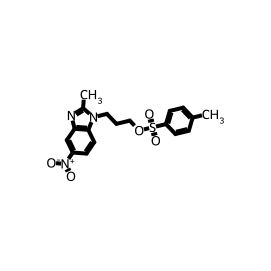 Cc1ccc(S(=O)(=O)OCCCn2c(C)nc3cc([N+](=O)[O-])ccc32)cc1